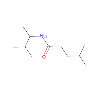 CC(C)CCC(=O)NC(C)C(C)C